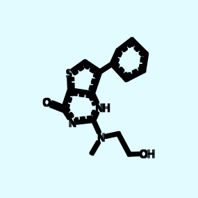 CN(CCO)c1nc(=O)c2scc(-c3ccccc3)c2[nH]1